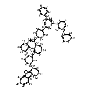 c1ccc(-c2cccc(-c3nc(-c4ccccc4)nc(-c4ccc(-c5nc6ccccc6c6c(-c7cccc(-c8cccc9c8oc8ccccc89)c7)cccc56)cc4)n3)c2)cc1